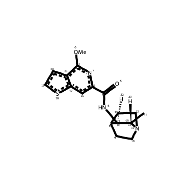 COc1nc(C(=O)N[C@@H]2C3CCN(CC3)[C@H]2C)cc2sccc12